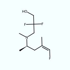 C/C(=C/F)C[C@@H](C)N(C)CC(F)(F)CO